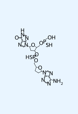 Nc1ncnc2c1ncn2C1CCC(COP(S)O[C@H]2CC(n3cnc4c(=O)[nH]cnc43)OC2COP(S)CO)O1